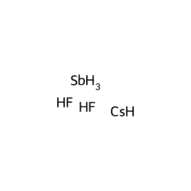 F.F.[CsH].[SbH3]